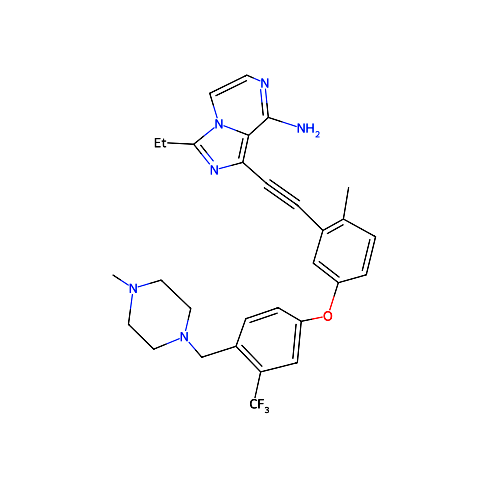 CCc1nc(C#Cc2cc(Oc3ccc(CN4CCN(C)CC4)c(C(F)(F)F)c3)ccc2C)c2c(N)nccn12